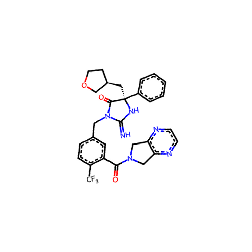 N=C1N[C@](C[C@@H]2CCOC2)(c2ccccc2)C(=O)N1Cc1ccc(C(F)(F)F)c(C(=O)N2Cc3nccnc3C2)c1